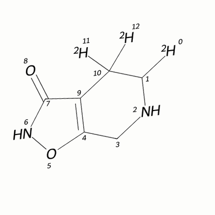 [2H]C1NCc2o[nH]c(=O)c2C1([2H])[2H]